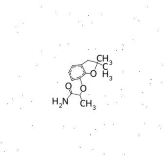 CC(Oc1cccc2c1OC(C)(C)C2)C(N)=O